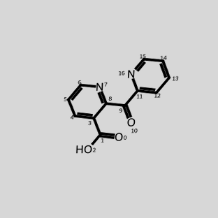 O=C(O)c1cccnc1C(=O)c1ccccn1